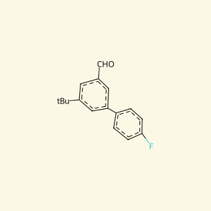 CC(C)(C)c1cc(C=O)cc(-c2ccc(F)cc2)c1